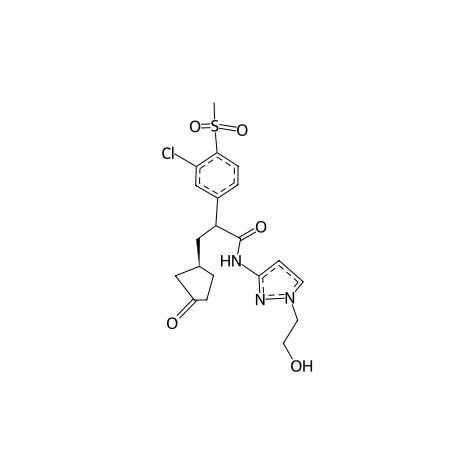 CS(=O)(=O)c1ccc(C(C[C@H]2CCC(=O)C2)C(=O)Nc2ccn(CCO)n2)cc1Cl